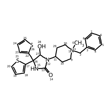 C[N+]1(Cc2ccccc2)CCC(N2C(=O)NC(c3cccs3)(c3cccs3)C2O)CC1